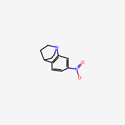 O=[N+]([O-])c1ccc2c(c1)N1CCC2CC1